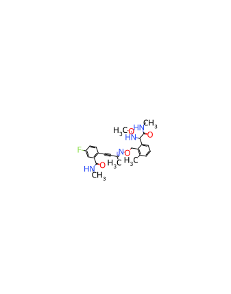 CNC(=O)c1cc(F)ccc1C#C/C(C)=N/OCc1c(C)cccc1C(NOC)C(=O)NC